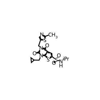 Cc1ncc(Cn2c(=O)c3cc(S(=O)(=O)NC(C)C)sc3n(CC3CC3)c2=O)s1